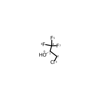 O[C@@H](CCl)C(F)(F)F